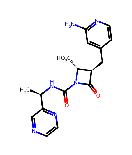 C[C@@H](NC(=O)N1C(=O)[C@H](Cc2ccnc(N)c2)[C@H]1C(=O)O)c1cnccn1